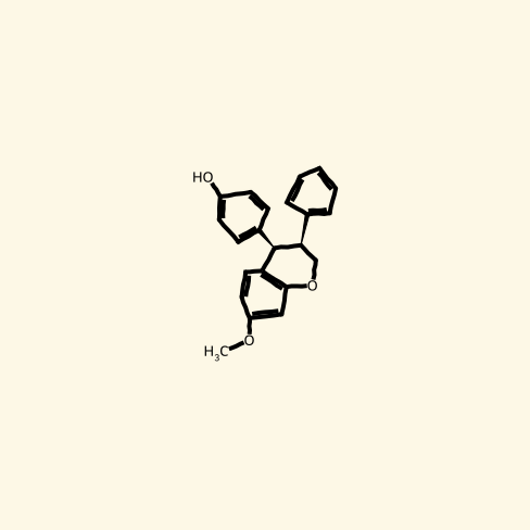 COc1ccc2c(c1)OC[C@H](c1ccccc1)[C@@H]2c1ccc(O)cc1